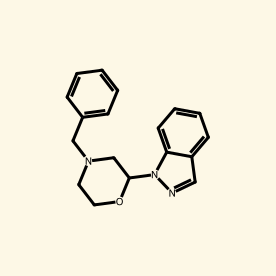 c1ccc(CN2CCOC(n3ncc4ccccc43)C2)cc1